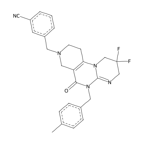 Cc1ccc(CN2C(=O)C3=C(CCN(Cc4cccc(C#N)c4)C3)N3CC(F)(F)CN=C23)cc1